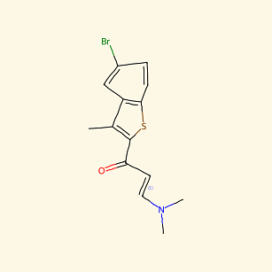 Cc1c(C(=O)/C=C/N(C)C)sc2ccc(Br)cc12